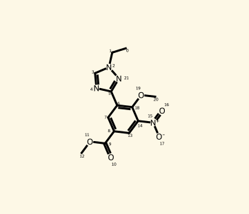 CCn1cnc(-c2cc(C(=O)OC)cc([N+](=O)[O-])c2OC)n1